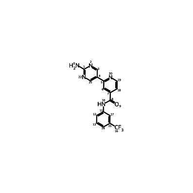 Nc1ncc(-c2cc(C(=O)Nc3cccc(C(F)(F)F)c3)ccn2)cn1